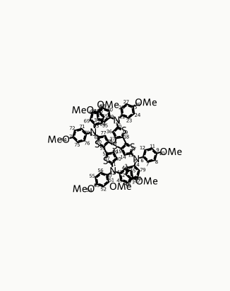 COc1ccc(N(c2ccc(OC)cc2)c2cc3c(s2)-c2sc(N(c4ccc(OC)cc4)c4ccc(OC)cc4)cc2S32c3cc(N(c4ccc(OC)cc4)c4ccc(OC)cc4)sc3-c3sc(N(c4ccc(OC)cc4)c4ccc(OC)cc4)cc32)cc1